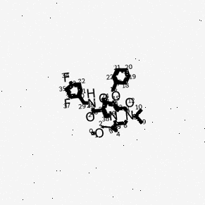 COC[C@@H]1C[C@@]12CN(C(C)C)C(=O)c1c(OCc3ccccc3)c(=O)c(C(=O)NCc3ccc(F)cc3F)cn12